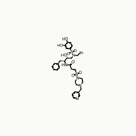 CC(C)CN(C[C@@H](O)[C@H](Cc1ccccc1)NC(=O)CCS(=O)(=O)N1CCN(Cc2cccnc2)CC1)S(=O)(=O)c1ccc(O)c(O)c1